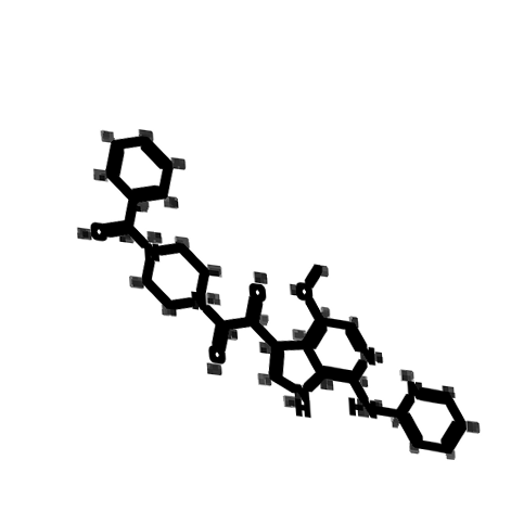 COc1cnc(Nc2ccccn2)c2[nH]cc(C(=O)C(=O)N3CCN(C(=O)c4ccccc4)CC3)c12